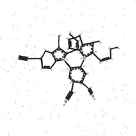 C#CC1C=Cc2c(c(C)c(/C=C\C)n2-c2cc(C#N)c(C#N)cc2-n2c3c(c(C)c2/C=C\CC)CC=C3)C1